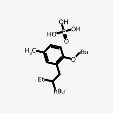 CCCCC(CC)Cc1cc(C)ccc1OC(C)CC.O=P(O)(O)O